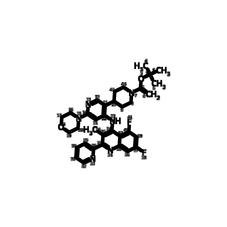 C=C(OC(C)(C)C)N1CCC(c2cnc(N3CCOCC3)cc2Nc2c(C)c(-c3ccccn3)nc3cc(F)cc(F)c23)CC1